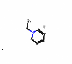 C[C](C)CN1C=CC=CC1.[H+]